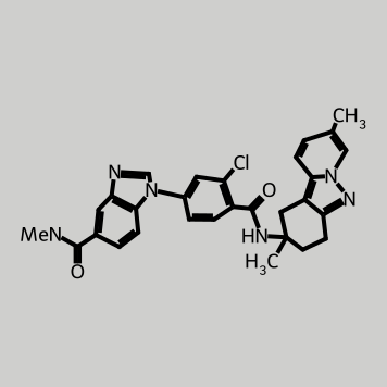 CNC(=O)c1ccc2c(c1)ncn2-c1ccc(C(=O)NC2(C)CCc3nn4cc(C)ccc4c3C2)c(Cl)c1